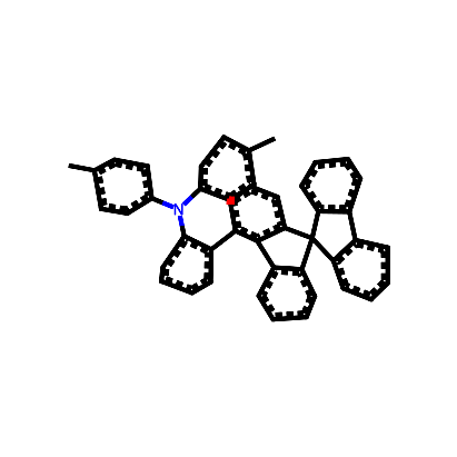 Cc1ccc(N(c2ccc(C)cc2)c2ccccc2-c2cccc3c2-c2ccccc2C32c3ccccc3-c3ccccc32)cc1